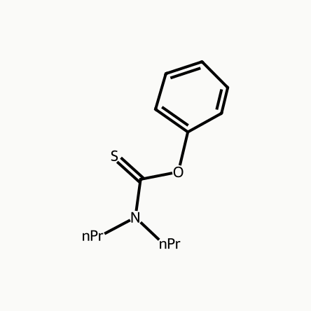 CCCN(CCC)C(=S)Oc1ccccc1